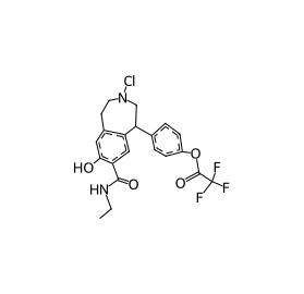 CCNC(=O)c1cc2c(cc1O)CCN(Cl)CC2c1ccc(OC(=O)C(F)(F)F)cc1